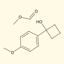 COC=O.COc1ccc(C2(O)CCC2)cc1